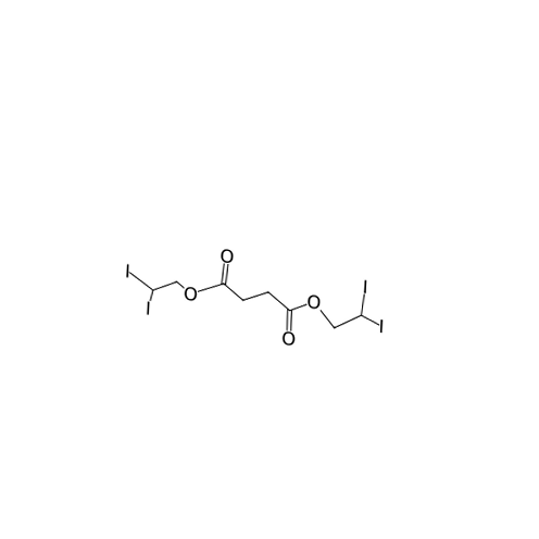 O=C(CCC(=O)OCC(I)I)OCC(I)I